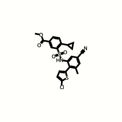 COC(=O)c1ccc(C2CC2)c(S(=O)(=O)Nc2cc(C#N)cc(C)c2-c2ccc(Cl)s2)c1